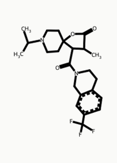 CC1C(=O)OC2(CCN(C(C)C)CC2)C1C(=O)N1CCc2ccc(C(F)(F)F)cc2C1